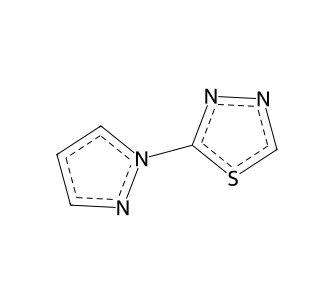 c1cnn(-c2nncs2)c1